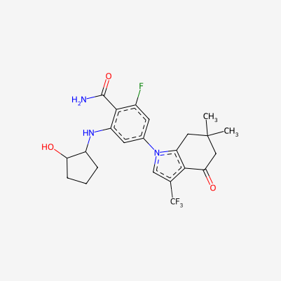 CC1(C)CC(=O)c2c(C(F)(F)F)cn(-c3cc(F)c(C(N)=O)c(NC4CCCC4O)c3)c2C1